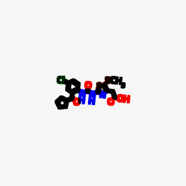 CSc1sc(NC(=O)Nc2ccc(Cl)cc2C(=O)C2CCCC2)nc1CC(=O)O